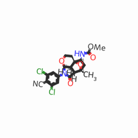 COC(=O)N[C@@H]1C[C@@]2(C)O[C@@]13CCO[C@H]1[C@@H]3[C@@H]2C(=O)N1c1cc(Cl)c(C#N)c(Cl)c1